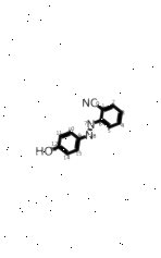 N#Cc1ccccc1N=Nc1ccc(O)cc1